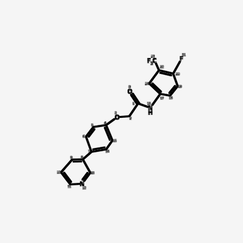 O=C(COc1ccc(-c2cccnc2)cc1)Nc1ccc(F)c(C(F)(F)F)c1